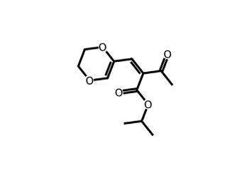 CC(=O)C(=CC1=COCCO1)C(=O)OC(C)C